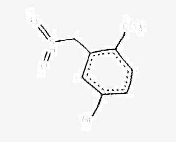 O=C(O)c1ccc(Br)cc1C[SH](=O)=O